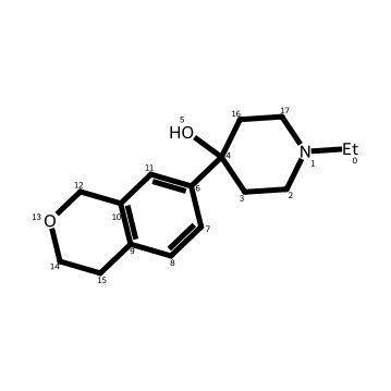 CCN1CCC(O)(c2ccc3c(c2)COCC3)CC1